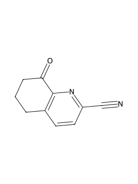 N#Cc1ccc2c(n1)C(=O)CCC2